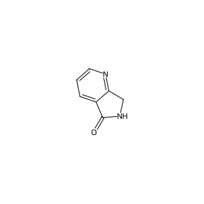 O=C1NCc2ncccc21